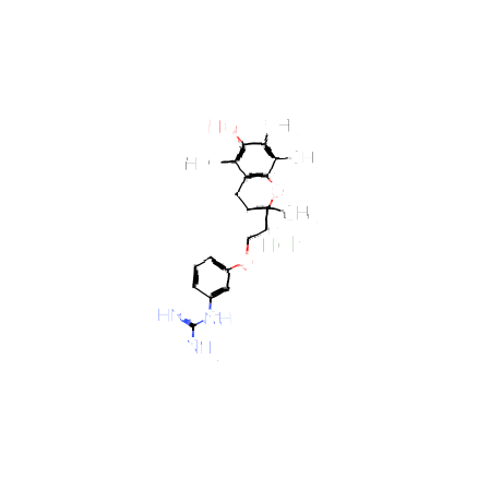 Cc1c(C)c2c(c(C)c1O)CCC(C)(CCOc1cccc(NC(=N)N)c1)O2.Cl